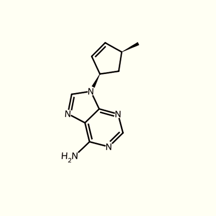 C[C@@H]1C=C[C@H](n2cnc3c(N)ncnc32)C1